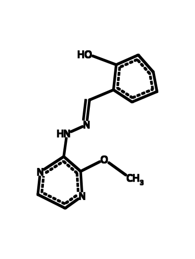 COc1nccnc1N/N=C/c1ccccc1O